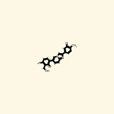 Cc1ccc(-c2cn3cc(-c4ccc(F)c(CO)c4F)ccc3n2)cc1Cl